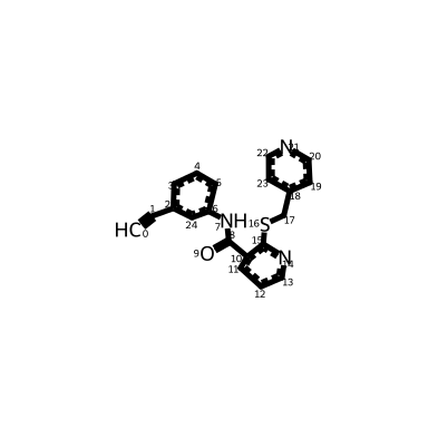 C#Cc1cccc(NC(=O)c2cccnc2SCc2ccncc2)c1